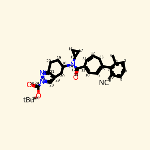 Cc1cccc(C#N)c1C1=CC=C(C(=O)N(C2CC2)C2CCc3nn(C(=O)OC(C)(C)C)cc3C2)C=CC1